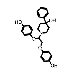 Oc1ccc(OCC(Oc2ccc(O)cc2)N2CCC(O)(c3ccccc3)CC2)cc1